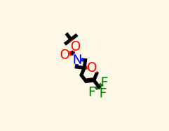 CC(C)(C)OC(=O)N1CC2(CC=C(C(F)(F)F)CO2)C1